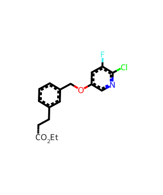 CCOC(=O)CCc1cccc(COc2cnc(Cl)c(F)c2)c1